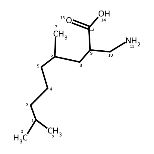 CC(C)CCCC(C)CC(CN)C(=O)O